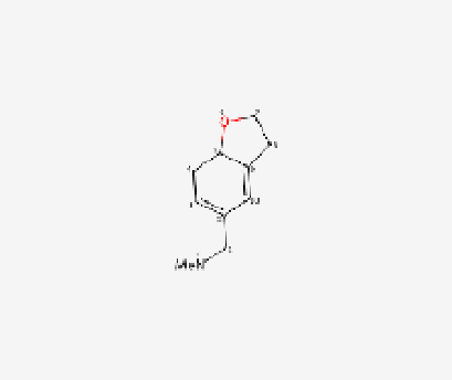 CNCC1=CCC2OCCC2=C1